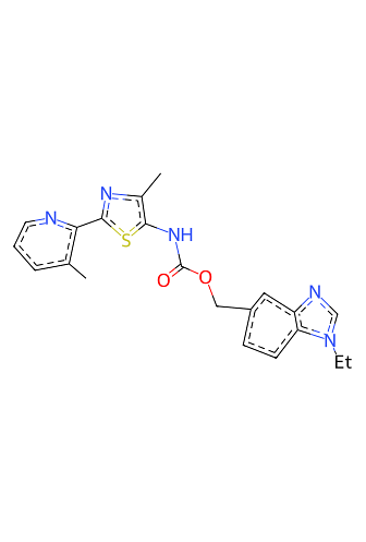 CCn1cnc2cc(COC(=O)Nc3sc(-c4ncccc4C)nc3C)ccc21